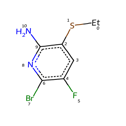 CCSc1cc(F)c(Br)nc1N